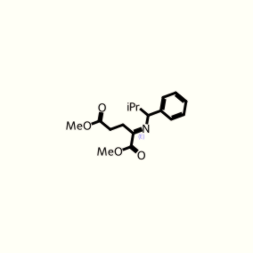 COC(=O)CC/C(=N\C(c1ccccc1)C(C)C)C(=O)OC